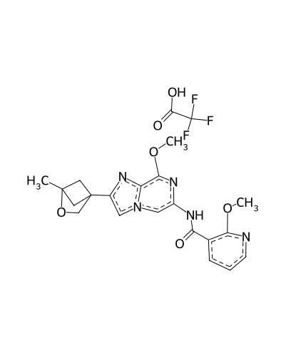 COc1ncccc1C(=O)Nc1cn2cc(C34COC(C)(C3)C4)nc2c(OC)n1.O=C(O)C(F)(F)F